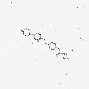 NNC(=O)Cc1ccc(CCc2ccc(N3CCNCC3)cn2)cc1